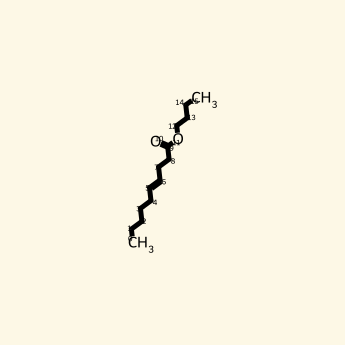 CCCCCC=CCCC(=O)OCCCC